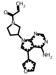 C=CC(=O)N1CCC(n2cc(-c3ccoc3)c3c(N)ncnc32)C1